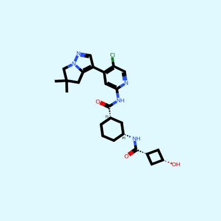 CC1(C)Cc2c(-c3cc(NC(=O)[C@H]4CCC[C@@H](NC(=O)[C@H]5C[C@@H](O)C5)C4)ncc3Cl)cnn2C1